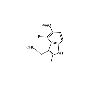 COc1ccc2[nH]c(C)c(CC=O)c2c1F